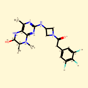 Cc1nc(NC2CN(C(=O)Cc3cc(F)c(F)c(F)c3)C2)nc2c1NC(O)[C@H](C(C)C)N2C